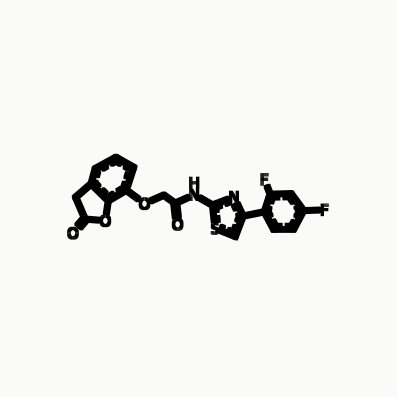 O=C(COc1cccc2c1OC(=O)C2)Nc1nc(-c2ccc(F)cc2F)cs1